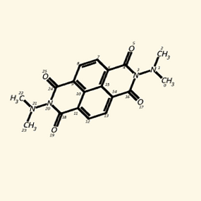 CN(C)N1C(=O)c2ccc3c4c(ccc(c24)C1=O)C(=O)N(N(C)C)C3=O